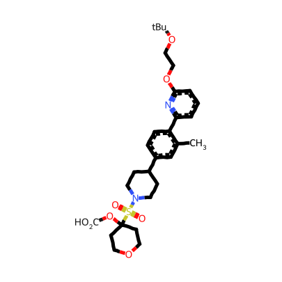 Cc1cc(C2CCN(S(=O)(=O)C3(OC(=O)O)CCOCC3)CC2)ccc1-c1cccc(OCCOC(C)(C)C)n1